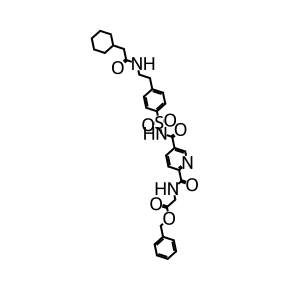 O=C(CC1CCCCC1)NCCc1ccc(S(=O)(=O)NC(=O)c2ccc(C(=O)NCC(=O)OCc3ccccc3)nc2)cc1